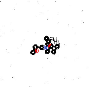 CC1(C)c2ccccc2-c2cc(N(c3ccc(-c4cccc5c4oc4ccccc45)cc3)c3ccccc3-c3ccccc3-c3ccccc3-c3ccccc3)ccc21